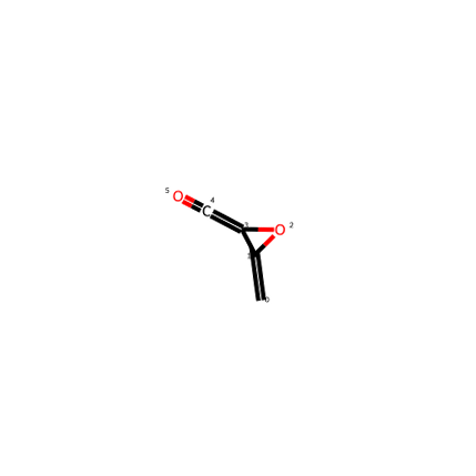 C=C1OC1=C=O